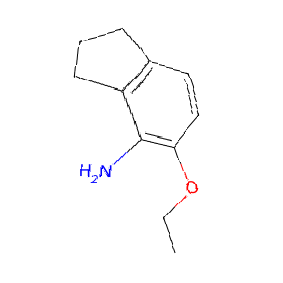 CCOc1ccc2c(c1N)CCC2